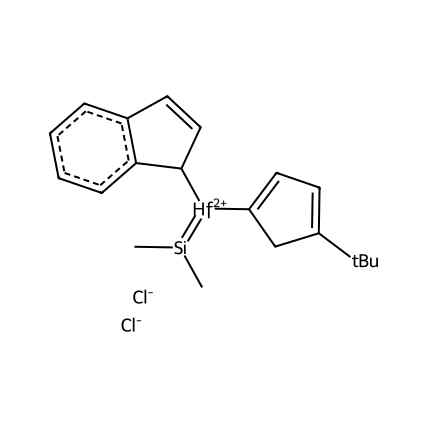 C[Si](C)=[Hf+2]([C]1=CC=C(C(C)(C)C)C1)[CH]1C=Cc2ccccc21.[Cl-].[Cl-]